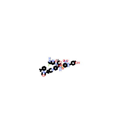 CC(C)c1ccccc1N1CCOC[C@@H]1C1CC2(CCN(c3ccc(C(=O)NS(=O)(=O)c4ccc(NCC5CCC(C)(O)CC5)c([N+](=O)[O-])c4)c(N4c5cc6c(F)c[nH]c6nc5O[C@H]5COCC[C@@H]54)c3)CC2)C1